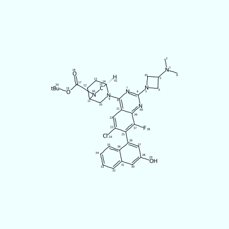 CN(C)C1CN(c2nc(N3CC4CC[C@@H]3CN4C(=O)OC(C)(C)C)c3cc(Cl)c(-c4cc(O)cc5ccccc45)c(F)c3n2)C1